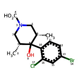 C[C@@H]1CN(C(=O)O)C[C@H](C)C1(O)c1ccc(Br)cc1Cl